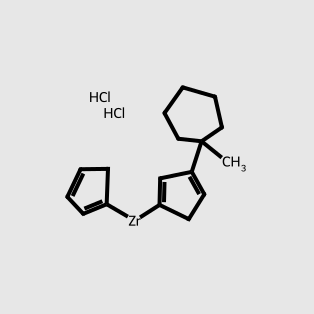 CC1(C2=CC[C]([Zr][C]3=CC=CC3)=C2)CCCCC1.Cl.Cl